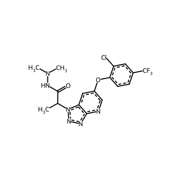 CC(C(=O)NN(C)C)n1nnc2ncc(Oc3ccc(C(F)(F)F)cc3Cl)cc21